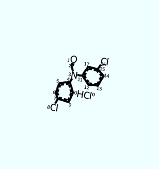 Cl.O=CN(c1ccc(Cl)cc1)c1cccc(Cl)c1